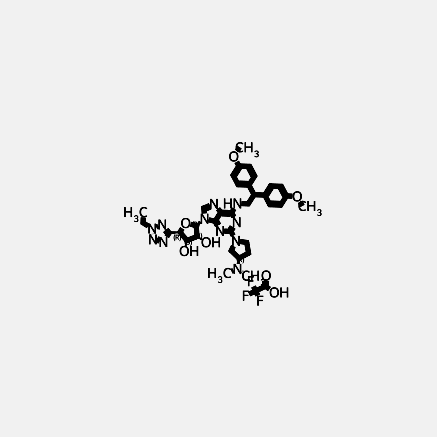 CCn1nnc([C@H]2O[C@@H](n3cnc4c(NCC(c5ccc(OC)cc5)c5ccc(OC)cc5)nc(N5CC[C@@H](N(C)C)C5)nc43)[C@H](O)[C@@H]2O)n1.O=C(O)C(F)(F)F